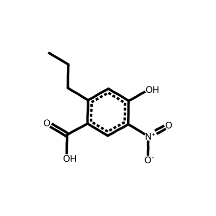 CCCc1cc(O)c([N+](=O)[O-])cc1C(=O)O